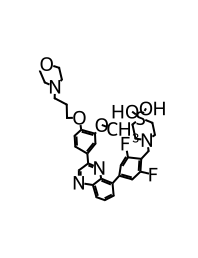 COc1cc(-c2cnc3cccc(-c4cc(F)c(CN5CCS(O)(O)CC5)c(F)c4)c3n2)ccc1OCCCN1CCOCC1